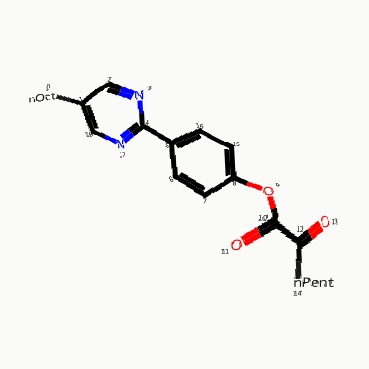 CCCCCCCCc1cnc(-c2ccc(OC(=O)C(=O)CCCCC)cc2)nc1